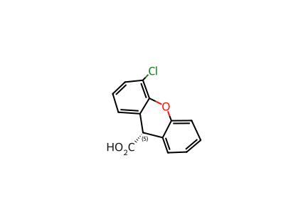 O=C(O)[C@H]1c2ccccc2Oc2c(Cl)cccc21